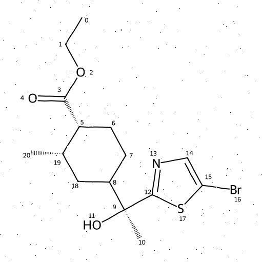 CCOC(=O)[C@@H]1CCC([C@](C)(O)c2ncc(Br)s2)C[C@@H]1C